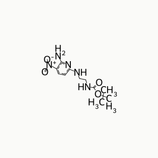 CC(C)(C)OC(=O)NCCNc1ccc([N+](=O)[O-])c(N)n1